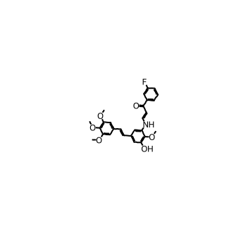 COc1cc(C=Cc2cc(O)c(OC)c(NC=CC(=O)c3cccc(F)c3)c2)cc(OC)c1OC